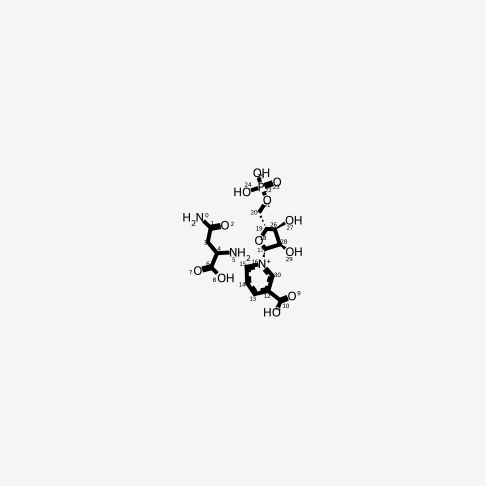 NC(=O)CC(N)C(=O)O.O=C(O)c1ccc[n+]([C@@H]2O[C@H](COP(=O)(O)O)[C@@H](O)[C@H]2O)c1